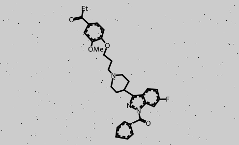 CCC(=O)c1ccc(OCCCN2CCC(c3nn(C(=O)c4ccccc4)c4cc(F)ccc34)CC2)c(OC)c1